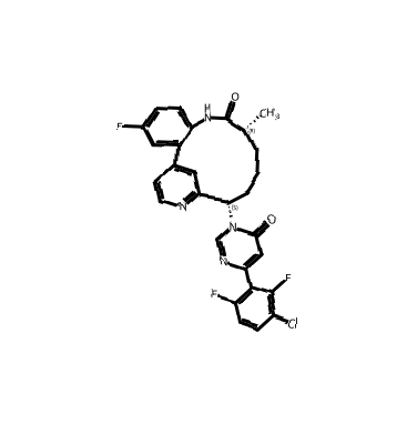 C[C@@H]1CCC[C@H](n2cnc(-c3c(F)ccc(Cl)c3F)cc2=O)c2cc(ccn2)-c2cc(F)ccc2NC1=O